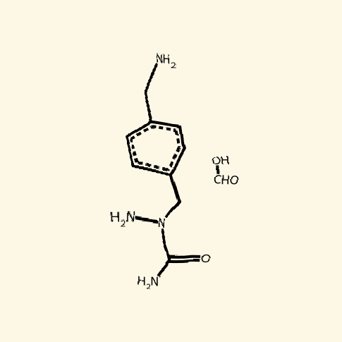 NCc1ccc(CN(N)C(N)=O)cc1.O=CO